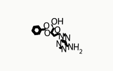 Nc1ncnc2c1ncn2[C@H]1C[C@@H](OC(=O)c2ccccc2)[C@@H](CO)O1